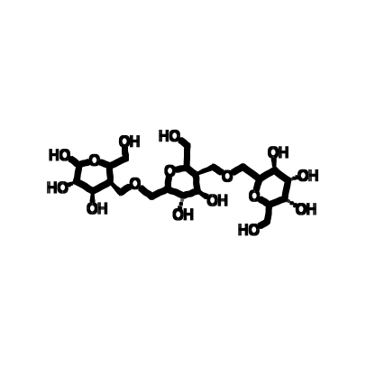 OCC1OC(COC[C@@H]2C(CO)OC(COC[C@@H]3C(CO)OC(O)[C@@H](O)[C@@H]3O)[C@@H](O)[C@@H]2O)[C@@H](O)[C@H](O)[C@@H]1O